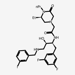 CCCN1C(=O)CN(CC(=O)N[C@@H](Cc2cc(F)cc(F)c2)[C@H](O)CNCc2cccc(I)c2)C[C@H]1CC